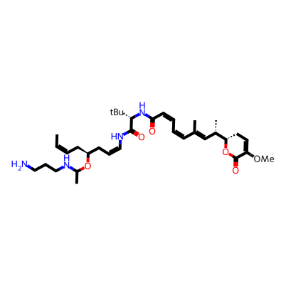 C/C=C\C[C@@H](C/C=C\NC(=O)[C@@H](NC(=O)\C=C/C=C\C(C)=C\[C@H](C)[C@@H]1CC=C(OC)C(=O)O1)C(C)(C)C)OC(C)NCCCN